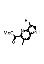 COC(=O)c1nc2c(Br)c[nH]c2cc1C